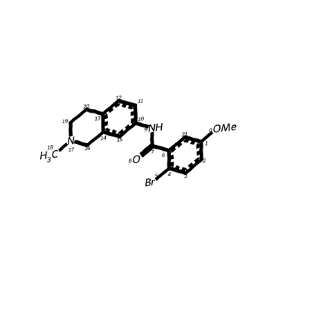 COc1ccc(Br)c(C(=O)Nc2ccc3c(c2)CN(C)CC3)c1